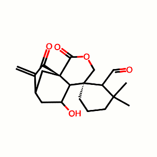 C=C1C(=O)[C@]23CC1CC(O)C2[C@@]1(CCCC(C)(C)C1C=O)COC3=O